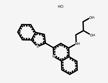 Cl.OCC(O)CNc1cc(-c2cc3ccccc3s2)nc2ccccc12